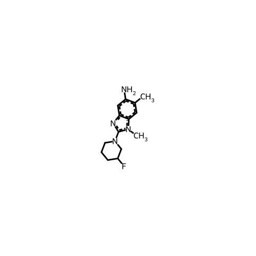 Cc1cc2c(cc1N)nc(N1CCCC(F)C1)n2C